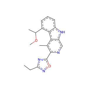 CCc1noc(-c2ncc3[nH]c4cccc(C(C)OC)c4c3c2C)n1